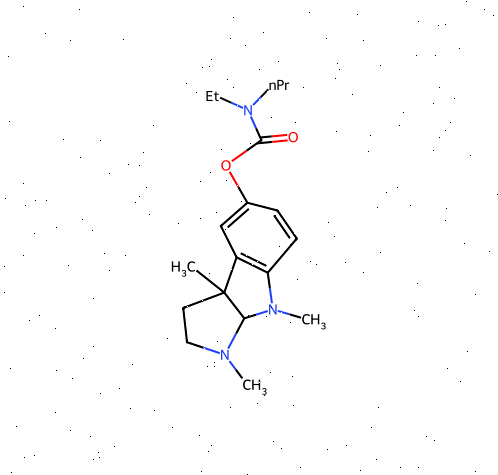 CCCN(CC)C(=O)Oc1ccc2c(c1)C1(C)CCN(C)C1N2C